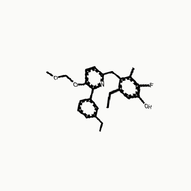 CCc1cccc(-c2nc(Cc3c(CC)cc(O)c(F)c3C)ccc2OCOC)c1